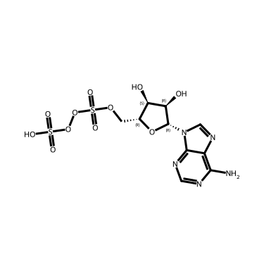 Nc1ncnc2c1ncn2[C@@H]1O[C@H](COS(=O)(=O)OOS(=O)(=O)O)[C@@H](O)[C@H]1O